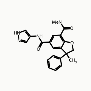 CNC(=O)c1cc(C(=O)Nc2cn[nH]c2)cc2c1OCC2(C)c1ccccc1